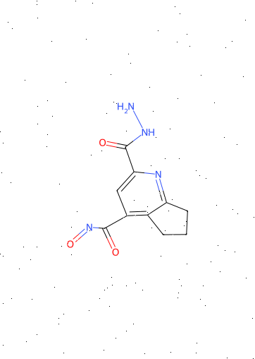 NNC(=O)c1cc(C(=O)N=O)c2c(n1)CCC2